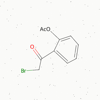 CC(=O)Oc1ccccc1C(=O)CBr